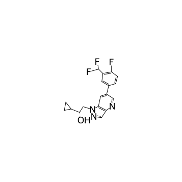 O[C@@H](Cn1ncc2ncc(-c3ccc(F)c(C(F)F)c3)cc21)C1CC1